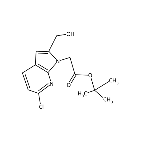 CC(C)(C)OC(=O)Cn1c(CO)cc2ccc(Cl)nc21